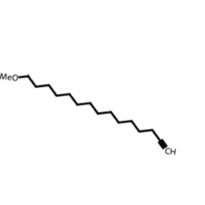 C#CCCCCCCCCCCCC[CH]OC